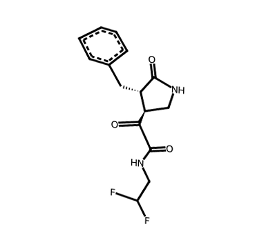 O=C(NCC(F)F)C(=O)[C@@H]1CNC(=O)[C@H]1Cc1ccccc1